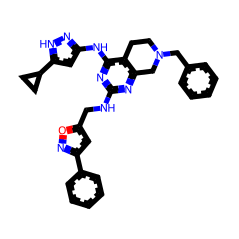 c1ccc(CN2CCc3c(nc(NCc4cc(-c5ccccc5)no4)nc3Nc3cc(C4CC4)[nH]n3)C2)cc1